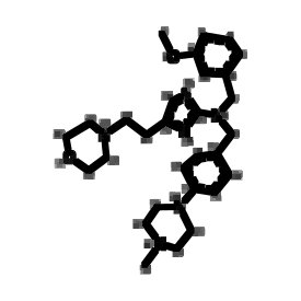 COc1cccc(CN(Cc2ccc(N3CCN(C)CC3)cc2)c2nc(CCN3CCOCC3)cs2)c1